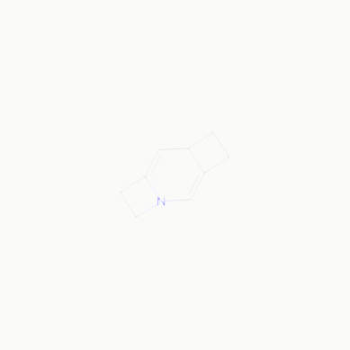 C1=C2CCC2C=C2CCN12